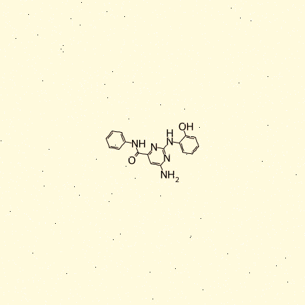 Nc1cc(C(=O)Nc2ccccc2)nc(Nc2ccccc2O)n1